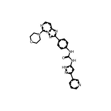 O=C(Nc1ccc(-c2nc3ccnc(N4CCOCC4)n3n2)cc1)Nc1cc(-c2cccnc2)n[nH]1